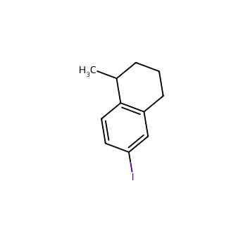 CC1CCCc2cc(I)ccc21